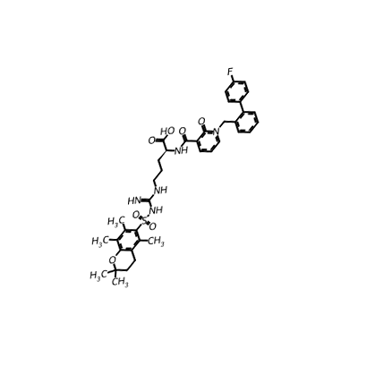 Cc1c(C)c(S(=O)(=O)NC(=N)NCCC[C@H](NC(=O)c2cccn(Cc3ccccc3-c3ccc(F)cc3)c2=O)C(=O)O)c(C)c2c1OC(C)(C)CC2